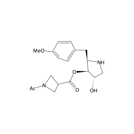 COc1ccc(C[C@H]2NC[C@H](O)[C@H]2OC(=O)C2CN(C(C)=O)C2)cc1